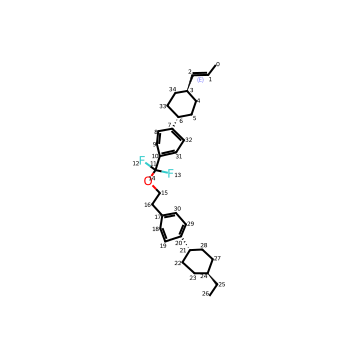 C/C=C/[C@H]1CC[C@H](c2ccc(C(F)(F)OCCc3ccc([C@H]4CC[C@H](CC)CC4)cc3)cc2)CC1